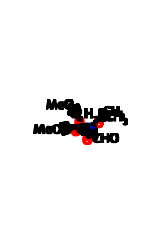 COc1ccc(COc2cc3c(=O)c(C=O)cn(COCC[Si](C)(C)C)c3cc2OCc2ccc(OC)cc2)cc1